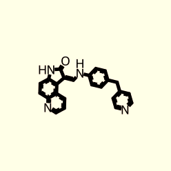 O=C1Nc2ccc3ncccc3c2/C1=C/Nc1ccc(Cc2ccncc2)cc1